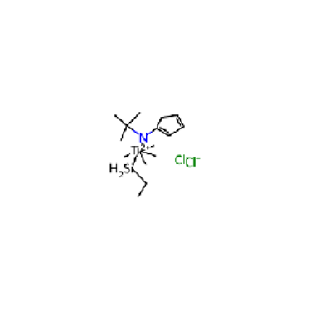 CC[SiH2][Ti+2]([CH3])([CH3])([CH3])([CH3])[N](C1=CC=CC1)C(C)(C)C.[Cl-].[Cl-]